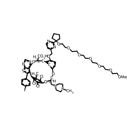 COCCOCCOCCOCCOCCOCCOC1(c2nccc(COc3ccc4cc3C[C@H](C(=O)O)Oc3ncnc5sc(-c6ccc(F)cc6)c(c35)-c3c(C)c(Cl)c(c(Cl)c3C)O[C@H](CN3CCN(C)CC3)CO4)n2)CCCC1